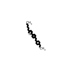 CCCCCCc1ccc(-c2ccc(CCC3CCC(CCC)CC3)cc2)nc1